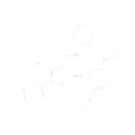 CCN(c1ccc(C(F)(F)F)cc1)S(=O)(=O)c1ccccc1/N=N/c1c(N)nn(-c2cc(C)ccc2Cl)c1O